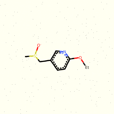 CCOc1ccc(C[S+](C)[O-])cn1